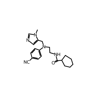 Cn1cncc1CN(CCNC(=O)C1CCCCC1)c1ccc(C#N)cc1